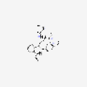 C=CC1=NC(C(=C)C/N=C(\C)C=C)C(CCC(C)(/C=C\C)/N=C(C)\C=C/C)c2ccccc21